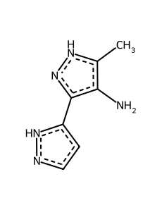 Cc1[nH]nc(-c2ccn[nH]2)c1N